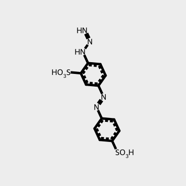 N=NNc1ccc(N=Nc2ccc(S(=O)(=O)O)cc2)cc1S(=O)(=O)O